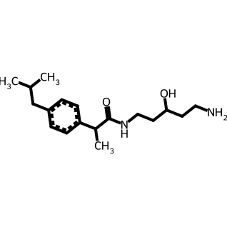 CC(C)Cc1ccc(C(C)C(=O)NCCC(O)CCN)cc1